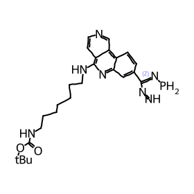 CC(C)(C)OC(=O)NCCCCCCCNc1nc2cc(/C(N=N)=N/P)ccc2c2cnccc12